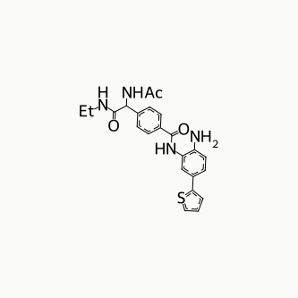 CCNC(=O)C(NC(C)=O)c1ccc(C(=O)Nc2cc(-c3cccs3)ccc2N)cc1